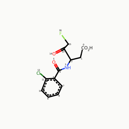 O=C(O)CC(NC(=O)c1ccccc1Cl)C(=O)CF